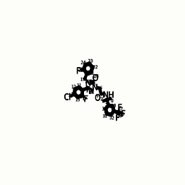 CC(C)(NC(=O)Cn1nc(-c2ccc(Cl)cc2F)n(Cc2ccccc2F)c1=O)c1cccc(C(F)(F)F)c1